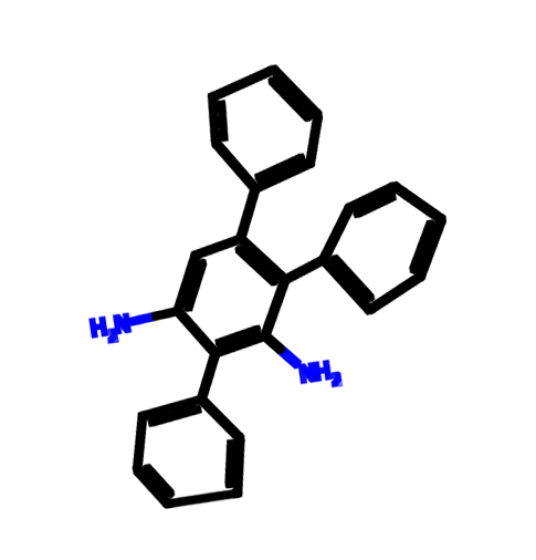 Nc1cc(-c2ccccc2)c(-c2ccccc2)c(N)c1-c1ccccc1